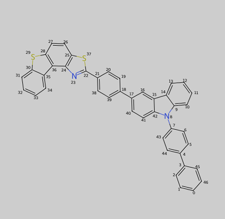 c1ccc(-c2ccc(-n3c4ccccc4c4cc(-c5ccc(-c6nc7c(ccc8sc9ccccc9c87)s6)cc5)ccc43)cc2)cc1